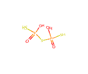 O=P(O)(S)SP(=O)(O)S